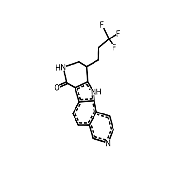 O=C1NCC(CCC(F)(F)F)c2[nH]c3c(ccc4cnccc43)c21